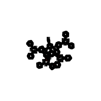 N#Cc1cc(-c2c(-n3c4ccc(-c5nc(-c6ccccc6)nc(-c6ccccc6)n5)cc4c4cc(-c5nc(-c6ccccc6)nc(-c6ccccc6)n5)ccc43)cc(C#N)cc2-n2c3ccc(-c4nc(-c5ccccc5)nc(-c5ccccc5)n4)cc3c3cc(-c4nc(-c5ccccc5)nc(-c5ccccc5)n4)ccc32)cc(C(F)(F)F)c1